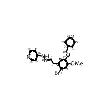 COc1cc(Br)c(C/C=N/Nc2ccncc2)cc1OCc1ccccc1